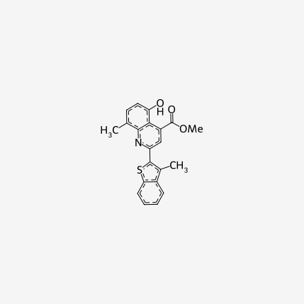 COC(=O)c1cc(-c2sc3ccccc3c2C)nc2c(C)ccc(O)c12